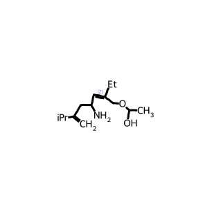 C=C(CC(N)/C=C(/CC)COC(C)O)C(C)C